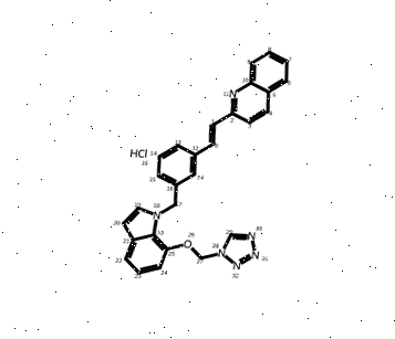 C(=C\c1ccc2ccccc2n1)/c1cccc(Cn2ccc3cccc(OCn4cnnn4)c32)c1.Cl